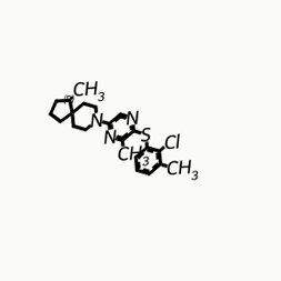 Cc1cccc(Sc2ncc(N3CCC4(CCC[C@H]4C)CC3)nc2C)c1Cl